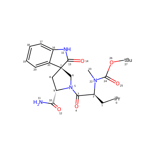 CC(C)C[C@@H](C(=O)N1C[C@]2(C[C@H]1C(N)=O)C(=O)Nc1ccccc12)N(C)C(=O)OC(C)(C)C